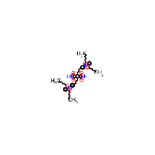 CCCCCCO[N+](OCCCCCC)(c1ccccc1)c1ccc(CCCc2c3c(=O)[nH]c(=O)c3c(CCCc3ccc([N+](OCCCCCC)(OCCCCCC)c4ccccc4)cc3)c3c(=O)[nH]c(=O)c23)cc1